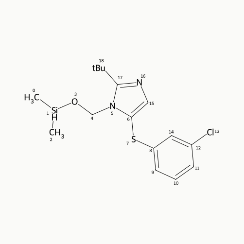 C[SiH](C)OCn1c(Sc2cccc(Cl)c2)cnc1C(C)(C)C